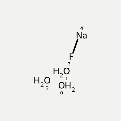 O.O.O.[F][Na]